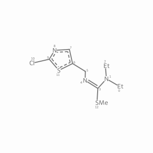 CCN(CC)C(=NCc1cnc(Cl)s1)SC